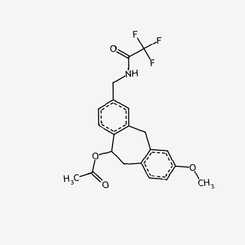 COc1ccc2c(c1)Cc1cc(CNC(=O)C(F)(F)F)ccc1C(OC(C)=O)C2